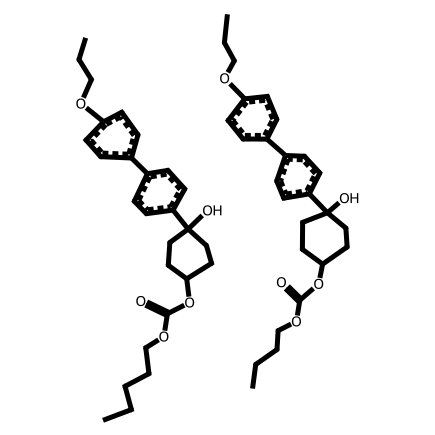 CCCCCOC(=O)OC1CCC(O)(c2ccc(-c3ccc(OCCC)cc3)cc2)CC1.CCCCOC(=O)OC1CCC(O)(c2ccc(-c3ccc(OCCC)cc3)cc2)CC1